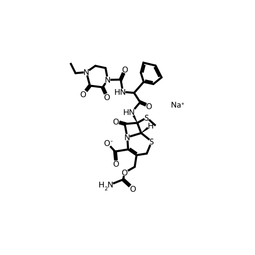 CCN1CCN(C(=O)NC(C(=O)N[C@]2(SC)C(=O)N3C(C(=O)[O-])=C(COC(N)=O)CS[C@H]32)c2ccccc2)C(=O)C1=O.[Na+]